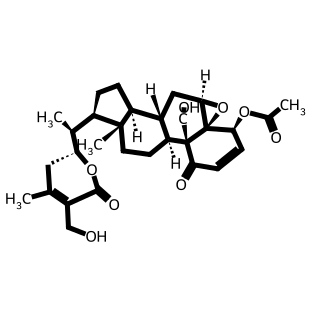 CC(=O)O[C@H]1C=CC(=O)[C@]2(CO)[C@H]3CC[C@]4(C)[C@@H]([C@H](C)[C@H]5CC(C)=C(CO)C(=O)O5)CC[C@H]4[C@@H]3C[C@H]3O[C@]132